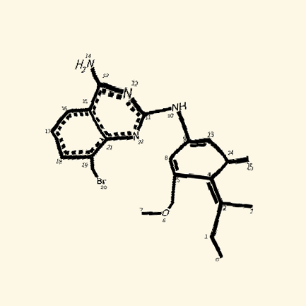 CC/C(C)=C1\C(OC)=CC(Nc2nc(N)c3cccc(Br)c3n2)=CC1C